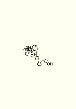 NS(=O)(=O)c1ccccc1-n1nc(C(F)(F)F)c2c1C(=O)N(c1ccc(-c3ccccc3CN3CC[C@@H](O)C3)cc1)CC2